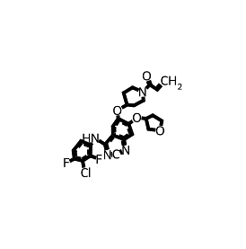 C=CC(=O)N1CCC(Oc2cc3c(Nc4ccc(F)c(Cl)c4F)ncnc3cc2OC2CCOC2)CC1